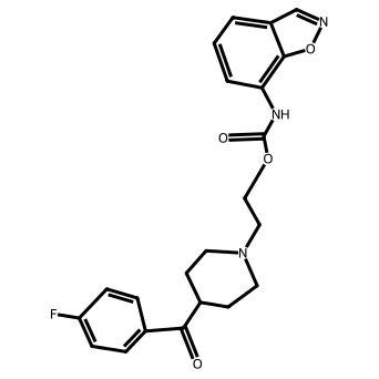 O=C(Nc1cccc2cnoc12)OCCN1CCC(C(=O)c2ccc(F)cc2)CC1